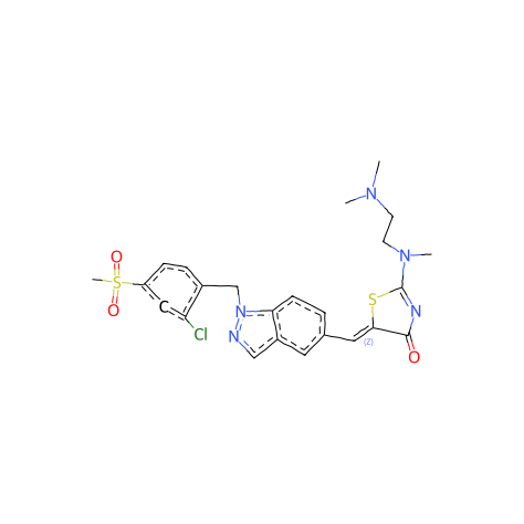 CN(C)CCN(C)C1=NC(=O)/C(=C/c2ccc3c(cnn3Cc3ccc(S(C)(=O)=O)cc3Cl)c2)S1